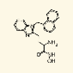 NC(CCc1nc2ccccc2n1Cc1cccc2ccccc12)C(=O)NO